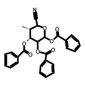 C[C@@H]1C(C#N)OC(OC(=O)c2ccccc2)C(OC(=O)c2ccccc2)[C@@H]1OC(=O)c1ccccc1